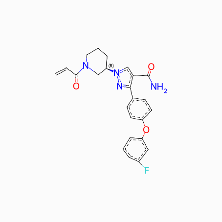 C=CC(=O)N1CCC[C@@H](n2cc(C(N)=O)c(-c3ccc(Oc4cccc(F)c4)cc3)n2)C1